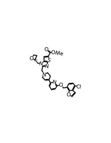 COC(=O)c1cc2c(nc(CN3CC=C(c4cccc(OCc5ccc(Cl)c6ccoc56)n4)CC3)n2C[C@@H]2CCO2)s1